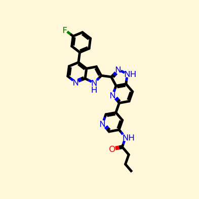 CCCC(=O)Nc1cncc(-c2ccc3[nH]nc(-c4cc5c(-c6cccc(F)c6)ccnc5[nH]4)c3n2)c1